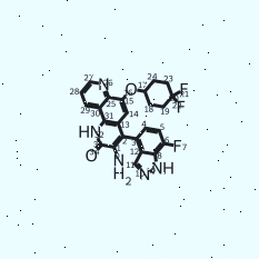 Nc1c(-c2ccc(F)c3[nH]ncc23)c2cc(OC3CCC(F)(F)CC3)c3ncccc3c2[nH]c1=O